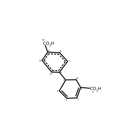 O=C(O)C1=CC=CC(c2ccc(C(=O)O)cc2)C1